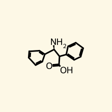 N[C@H](c1ccccc1)C(C(=O)O)c1ccccc1